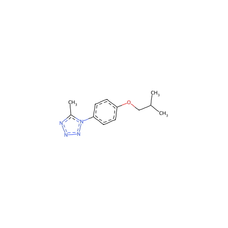 Cc1nnnn1-c1ccc(OCC(C)C)cc1